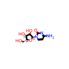 Nc1ccn([C@H]2O[C@H](CO)[C@@H](O)[C@H]2O)c(=O)n1